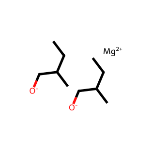 CCC(C)C[O-].CCC(C)C[O-].[Mg+2]